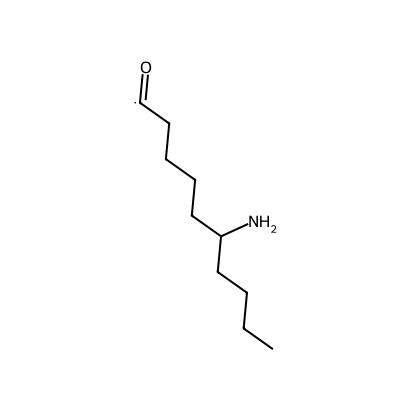 CCCCC(N)CCCC[C]=O